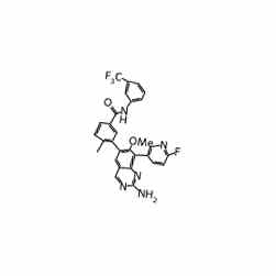 COc1c(-c2cc(C(=O)Nc3cccc(C(F)(F)F)c3)ccc2C)cc2cnc(N)nc2c1-c1ccc(F)nc1